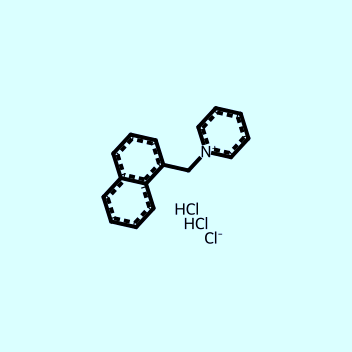 Cl.Cl.[Cl-].c1cc[n+](Cc2cccc3ccccc23)cc1